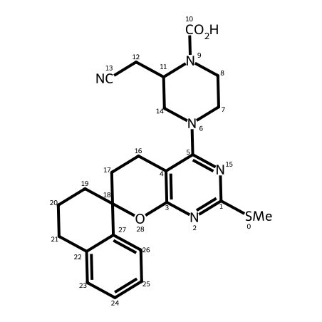 CSc1nc2c(c(N3CCN(C(=O)O)C(CC#N)C3)n1)CCC1(CCCc3ccccc31)O2